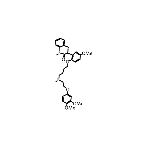 COc1ccc(OCCCCN(C)CCOc2ccc(OC)c(OC)c2)c(C2Sc3ccccc3N(C)C2=O)c1